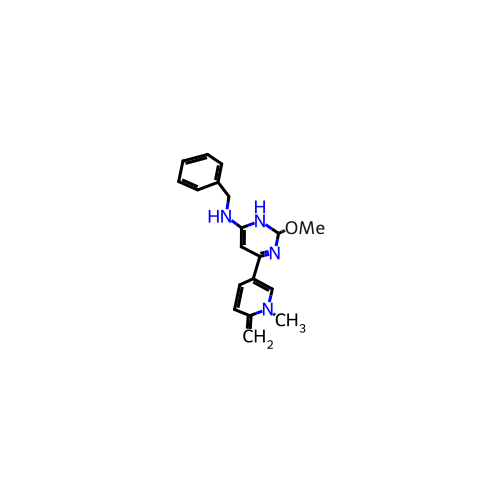 C=C1C=CC(C2=NC(OC)NC(NCc3ccccc3)=C2)=CN1C